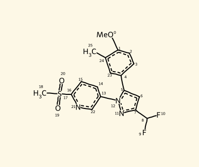 COc1ccc(-c2cc(C(F)F)nn2-c2ccc(S(C)(=O)=O)nc2)cc1C